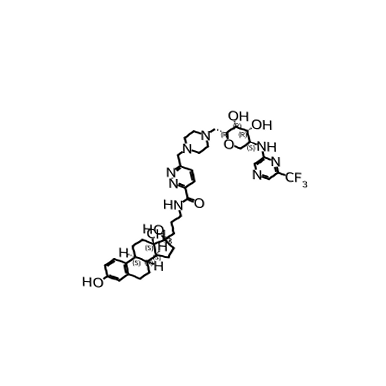 C[C@]12CC[C@@H]3c4ccc(O)cc4CC[C@H]3[C@@H]1CC[C@@]2(O)CCCNC(=O)c1ccc(CN2CCN(C[C@H]3OC[C@H](Nc4cncc(C(F)(F)F)n4)[C@@H](O)[C@H]3O)CC2)nn1